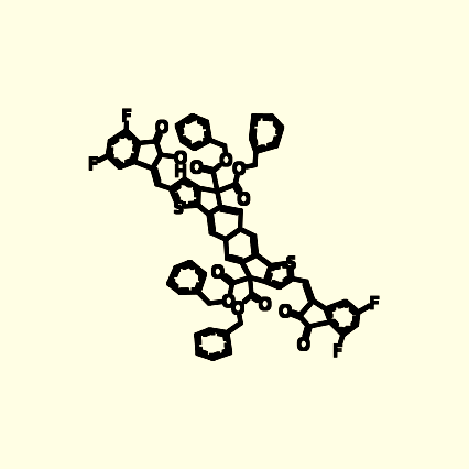 O=C1C(=O)c2c(F)cc(F)cc2/C1=C/c1cc2c(s1)C1=CC3C=C4C(=CC3C=C1C2(C(=O)OCc1ccccc1)C(=O)OCc1ccccc1)c1sc(/C=C2/c3cc(F)cc(F)c3C(=O)C2O)cc1C4(C(=O)OCc1ccccc1)C(=O)OCc1ccccc1